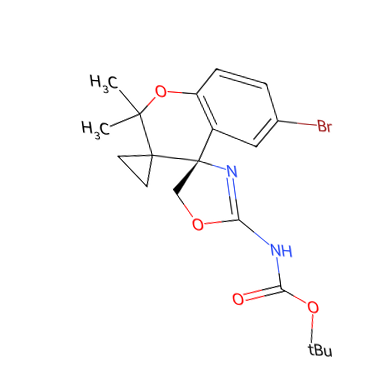 CC(C)(C)OC(=O)NC1=N[C@@]2(CO1)c1cc(Br)ccc1OC(C)(C)C21CC1